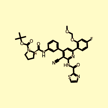 COCOc1cc(F)ccc1-c1cc(-c2cccc(NC(=O)[C@H]3CCCN3C(=O)OC(C)(C)C)c2)c(C#N)c(NC(=O)c2nccs2)n1